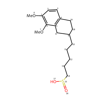 COc1ccc2c(c1OC)CC(CCCCCS(=O)O)CC2